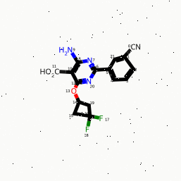 N#Cc1cccc(-c2nc(N)c(C(=O)O)c(OC3CC(F)(F)C3)n2)c1